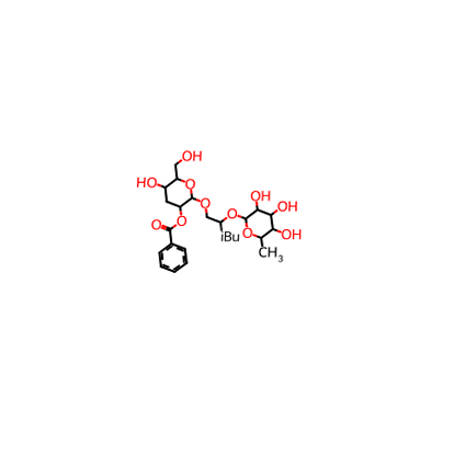 CCC(C)C(COC1OC(CO)C(O)CC1OC(=O)c1ccccc1)OC1OC(C)C(O)C(O)C1O